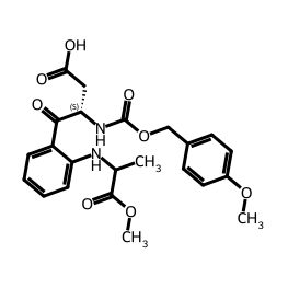 COC(=O)C(C)Nc1ccccc1C(=O)[C@H](CC(=O)O)NC(=O)OCc1ccc(OC)cc1